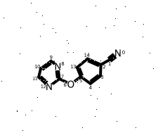 N#Cc1ccc(Oc2n[c]ccn2)cc1